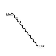 COCCOCOCCCCCCCCCCCCC[C]=O